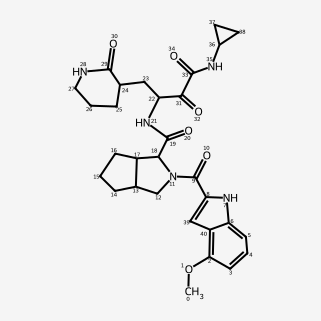 COc1cccc2[nH]c(C(=O)N3CC4CCCC4C3C(=O)NC(CC3CCCNC3=O)C(=O)C(=O)NC3CC3)cc12